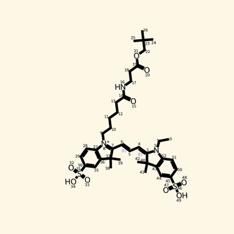 CCN1/C(=C/C=C/C2=[N+](CCCCCC(=O)NCCC(=O)OCC(C)(C)C)c3ccc(S(=O)(=O)O)cc3C2(C)C)C(C)(C)c2cc(S(=O)(=O)O)ccc21